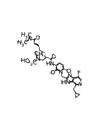 CN(C)C(=O)/C=C/CC[C@@H](CN(C)C(=O)O)C(=O)Nc1ccc(Cl)n(Cc2nc3c(F)cnc(CC4CC4)c3[nH]2)c1=O